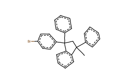 CC1(c2ccccc2)CC(c2ccccc2)(c2ccc(Br)cc2)c2ccccc21